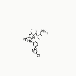 CCC(Nc1nc(Nc2cccc(-n3cc(Cl)cn3)c2)c(C#N)cc1F)C(C)CN